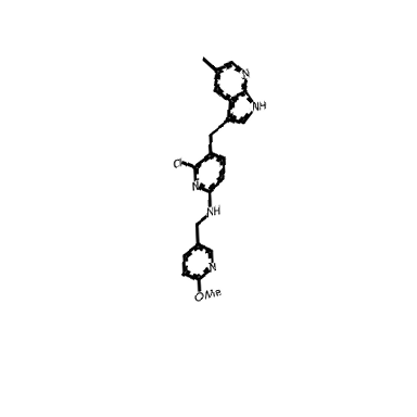 COc1ccc(CNc2ccc(Cc3c[nH]c4ncc(C)cc34)c(Cl)n2)cn1